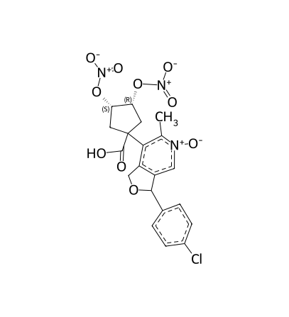 Cc1c(C2(C(=O)O)C[C@H](O[N+](=O)[O-])[C@H](O[N+](=O)[O-])C2)c2c(c[n+]1[O-])C(c1ccc(Cl)cc1)OC2